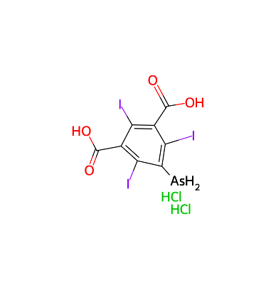 Cl.Cl.O=C(O)c1c(I)c([AsH2])c(I)c(C(=O)O)c1I